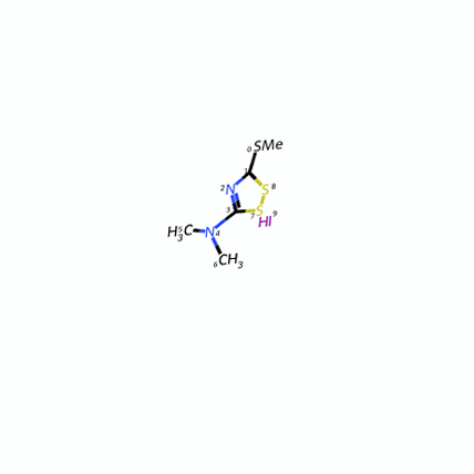 CSC1N=C(N(C)C)SS1.I